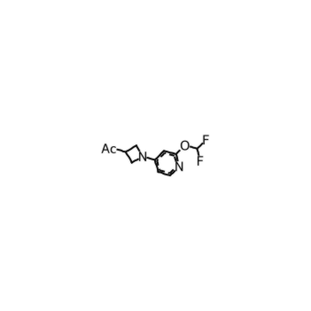 CC(=O)C1CN(c2ccnc(OC(F)F)c2)C1